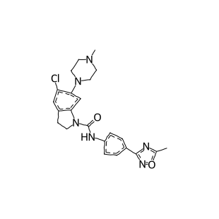 Cc1nc(-c2ccc(NC(=O)N3CCc4cc(Cl)c(N5CCN(C)CC5)cc43)cc2)no1